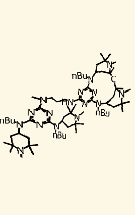 CCCCN1c2nc(NCCCN(C)c3nc(N(CCCC)C4CC(C)(C)N(C)C(C)(C)C4)nc(N(CCCC)C4CC(C)(C)N(C)C(C)(C)C4)n3)nc(n2)N(CCCC)C2CC(C)(C)N(C)C(C)(C2)CC2(C)CC1CC(C)(C)N2C